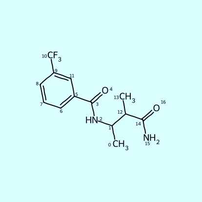 CC(NC(=O)c1cccc(C(F)(F)F)c1)C(C)C(N)=O